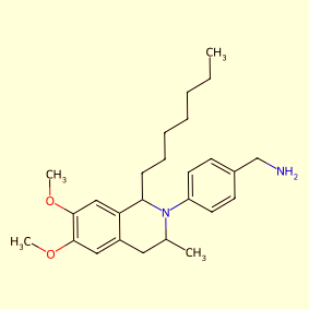 CCCCCCCC1c2cc(OC)c(OC)cc2CC(C)N1c1ccc(CN)cc1